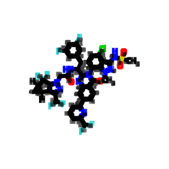 Cn1nc(NS(C)(=O)=O)c2c(Cl)ccc(-n3c([C@H](Cc4cc(F)cc(F)c4)NC(=O)Cn4nc(C(F)F)c5c4C(F)(F)[C@@H]4C[C@H]54)nc4cc(-c5cccc(C(F)F)n5)ccc4c3=O)c21